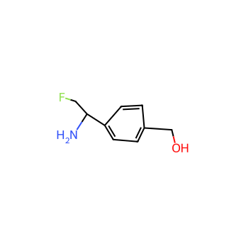 NC(CF)c1ccc(CO)cc1